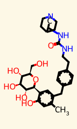 Cc1cc(O)c([C@@H]2O[C@H](CO)[C@@H](O)[C@H](O)[C@H]2O)cc1Cc1ccc(CCNC(=O)NC2CN3CCC2CC3)cc1